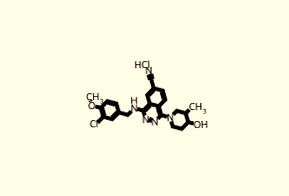 COc1ccc(CNc2nnc(N3CCC(O)C(C)C3)c3ccc(C#N)cc23)cc1Cl.Cl